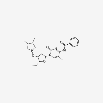 CC[C@H]1O[C@@H](n2cc(C)c(NC(=O)c3ccccc3)nc2=O)[C@@H](C)C1OP1SC(C)C(C)S1